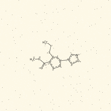 CCSc1cc(-c2cnoc2)ccc1C(=O)OC